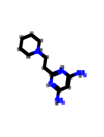 Nc1cc(N)nc(CCN2CCCCC2)n1